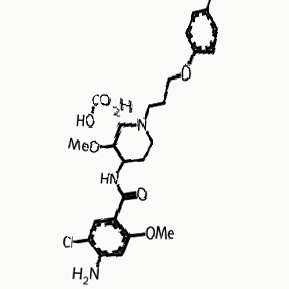 COc1cc(N)c(Cl)cc1C(=O)NC1CCN(CCCOc2ccc(F)cc2)CC1OC.O=C(O)O